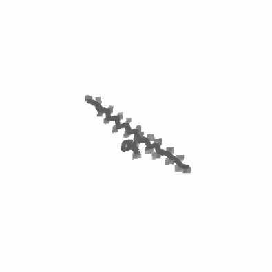 CCCCCCCCCCN(CCCCCCCCC)C(C)=O